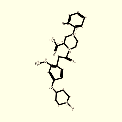 CC(=O)N1CCC(Oc2ccc(CC(=O)N3CCN(c4ccccc4C)CC3C(N)=O)c(OC(F)(F)F)c2)CC1